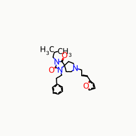 CC(C)CN1C(=O)N(CCc2ccccc2)C2(CCN(CC=Cc3ccco3)CC2)C1=O